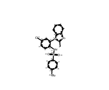 Cc1nc2ccccc2n1-c1cc(Cl)ccc1NS(=O)(=O)c1ccc(C(C)(C)C)cc1